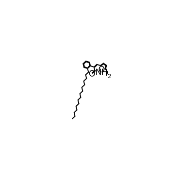 CCCCCCCCCCCCCCCCc1ccccc1C(=Cc1ccc(CC)o1)C(N)=O